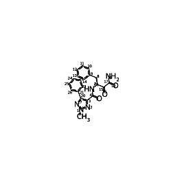 Cn1nc(C(=O)N[C@@H](Cc2ccccc2)C(=O)C(N)=O)c(-c2ccccc2)n1